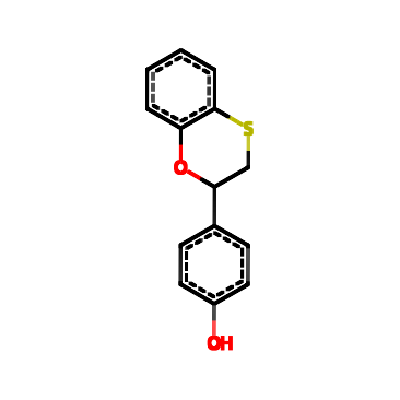 Oc1ccc(C2CSc3ccccc3O2)cc1